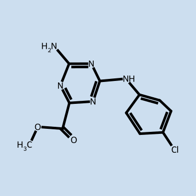 COC(=O)c1nc(N)nc(Nc2ccc(Cl)cc2)n1